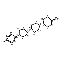 CC[C@H]1CC[C@H](C2CCC(C3CCC(c4ccc(C)cc4)CC3)CC2)CC1